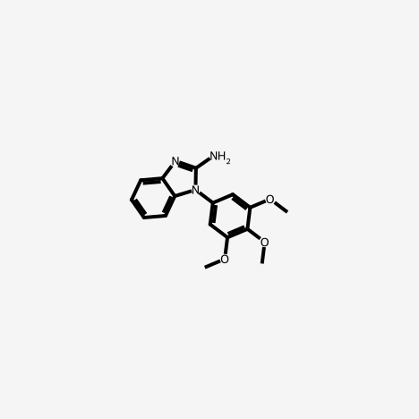 COc1cc(-n2c(N)nc3ccccc32)cc(OC)c1OC